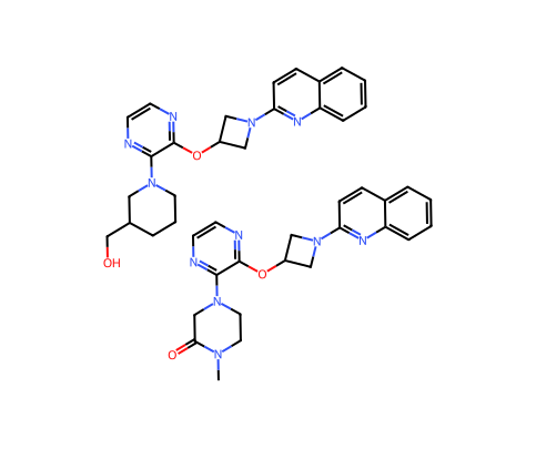 CN1CCN(c2nccnc2OC2CN(c3ccc4ccccc4n3)C2)CC1=O.OCC1CCCN(c2nccnc2OC2CN(c3ccc4ccccc4n3)C2)C1